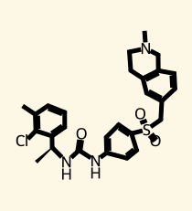 Cc1cccc([C@H](C)NC(=O)Nc2ccc(S(=O)(=O)Cc3ccc4c(c3)CCN(C)C4)cc2)c1Cl